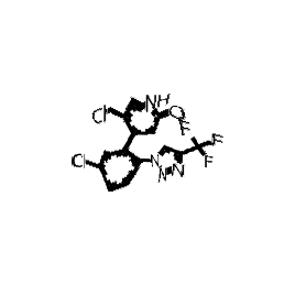 O=c1cc(-c2cc(Cl)ccc2-n2cc(C(F)(F)F)nn2)c(Cl)c[nH]1